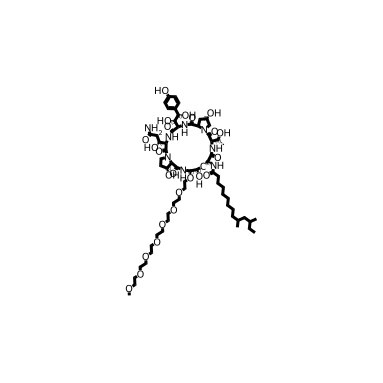 CCC(C)CC(C)CCCCCCCCC(=O)N[C@H]1C[C@@H](O)[C@@H](OCCOCCOCCOCCOCCOCCOCCOC)NC(=O)C2[C@@H](O)CCN2C(=O)C([C@H](O)CC(N)=O)NC(=O)C([C@H](O)[C@@H](O)c2ccc(O)cc2)NC(=O)C2C[C@@H](O)CN2C(=O)C([C@@H](C)O)NC1=O